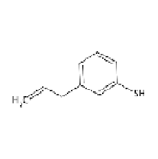 C=CCc1cccc(S)c1